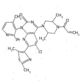 C=CC(=O)N1CC(C)N(c2nc(=O)n(-c3c(C)ccnc3C(C)C)c3nc(-c4nc(C)sc4C)c(Cl)cc23)CC1C